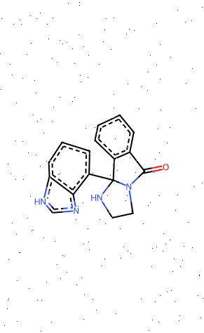 O=C1c2ccccc2C2(c3cccc4[nH]cnc34)NCCN12